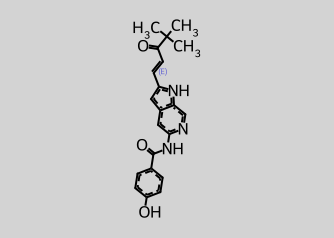 CC(C)(C)C(=O)/C=C/c1cc2cc(NC(=O)c3ccc(O)cc3)ncc2[nH]1